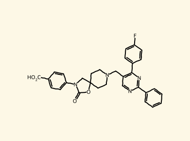 O=C(O)c1ccc(N2CC3(CCN(Cc4cnc(-c5ccccc5)nc4-c4ccc(F)cc4)CC3)OC2=O)cc1